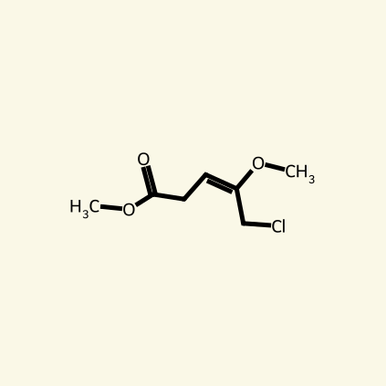 COC(=O)C/C=C(\CCl)OC